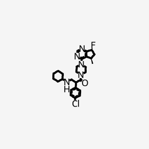 C[C@@H]1C[C@@H](F)c2ncnc(N3CCN(C(=O)C(CNC4CCCCC4)c4ccc(Cl)cc4)CC3)c21